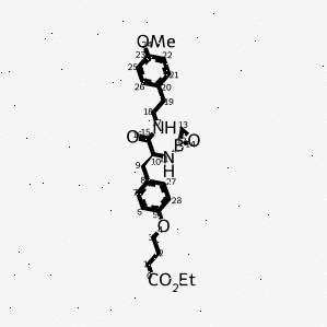 CCOC(=O)CCCOc1ccc(C[C@H](NB2CO2)C(=O)NCCc2ccc(OC)cc2)cc1